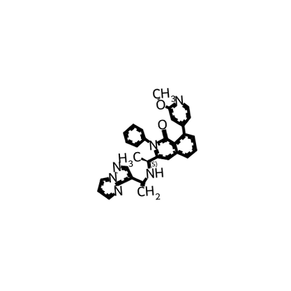 C=C(N[C@@H](C)c1cc2cccc(-c3ccnc(OC)c3)c2c(=O)n1-c1ccccc1)c1cnn2cccnc12